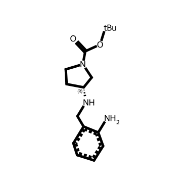 CC(C)(C)OC(=O)N1CC[C@@H](NCc2ccccc2N)C1